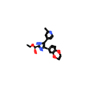 CCOC(=O)c1nc(-c2ccc3c(c2)OCCO3)c(-c2ccnc(C)c2)[nH]1